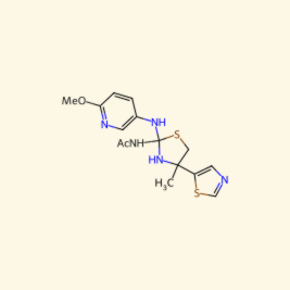 COc1ccc(NC2(NC(C)=O)NC(C)(c3cncs3)CS2)cn1